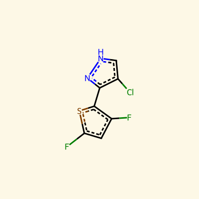 Fc1cc(F)c(-c2n[nH]cc2Cl)s1